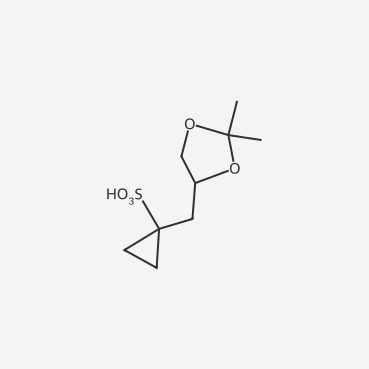 CC1(C)OCC(CC2(S(=O)(=O)O)CC2)O1